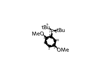 COc1ccc(OC)c(P(C(C)(C)C)C(C)(C)C)c1